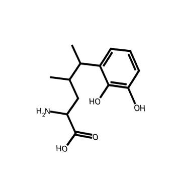 CC(CC(N)C(=O)O)C(C)c1cccc(O)c1O